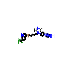 Cc1cc(N2CCNCC2)ccc1NCCCCCCSc1ccnc2cc(C(F)(F)F)ccc12